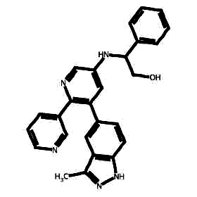 Cc1n[nH]c2ccc(-c3cc(NC(CO)c4ccccc4)cnc3-c3cccnc3)cc12